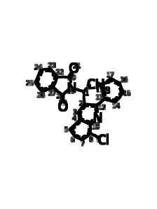 CC(c1cc2cccc(Cl)c2nc1-c1ccccn1)N1C(=O)c2ccccc2C1=O